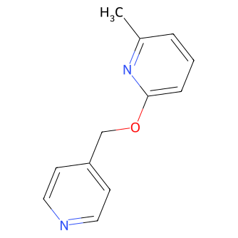 Cc1cccc(OCc2ccncc2)n1